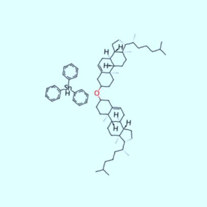 CC(C)CCC[C@@H](C)[C@H]1CC[C@H]2[C@@H]3CC=C4CC(OC5CC[C@@]6(C)C(=CC[C@H]7[C@@H]8CC[C@H]([C@H](C)CCCC(C)C)[C@@]8(C)CC[C@@H]76)C5)CC[C@]4(C)[C@H]3CC[C@]12C.c1cc[c]([SnH]([c]2ccccc2)[c]2ccccc2)cc1